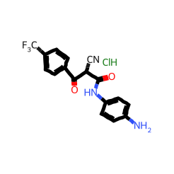 Cl.N#CC(C(=O)Nc1ccc(N)cc1)C(=O)c1ccc(C(F)(F)F)cc1